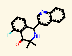 CC1(C)NC(c2cnc3ccccc3c2)c2cccc(F)c2C1=O